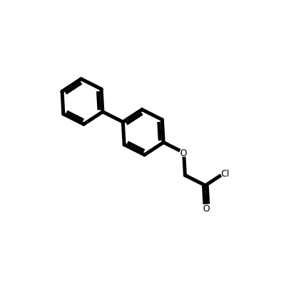 O=C(Cl)COc1ccc(-c2ccccc2)cc1